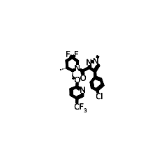 C[C@@H]1CC(F)(F)CN(C(=O)c2nn(C)cc2-c2ccc(Cl)cc2)[C@@H]1COc1ccc(C(F)(F)F)cn1